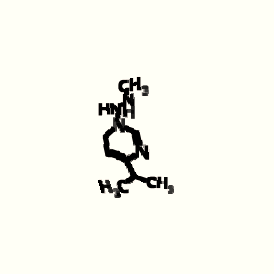 CNNN1C=NC(C(C)C)=CC1